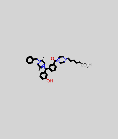 C[C@@H]1CN(C(c2cccc(O)c2)c2cccc(C(=O)N3CCN(CCCCCC(=O)O)CC3)c2)[C@@H](C)CN1Cc1ccccc1